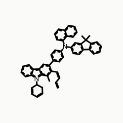 C=C/C=C\c1c(-c2ccc(N(c3ccc4c(c3)C(C)(C)c3ccccc3-4)c3cccc4ccccc34)cc2)cc2c3ccccc3n(C3C=CC=CC3)c2c1C